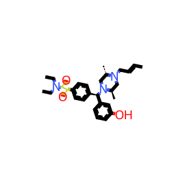 CC=CCN1C[C@@H](C)N([C@H](c2ccc(S(=O)(=O)N(CC)CC)cc2)c2cccc(O)c2)C[C@@H]1C